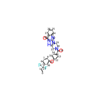 C=CC(F)(F)c1cccc(Oc2ccc(C(=O)N3CCN(c4nc5ccccc5c(=O)[nH]4)CC3)cc2)c1